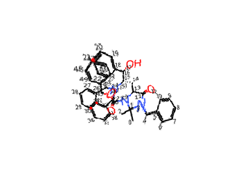 CC1(C)N(Cc2ccccc2)C(=O)C(C[C@@H](C(O)c2ccccc2)N(Cc2ccccc2)Cc2ccccc2)N1C(=O)OCc1ccccc1